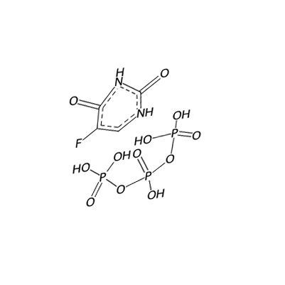 O=P(O)(O)OP(=O)(O)OP(=O)(O)O.O=c1[nH]cc(F)c(=O)[nH]1